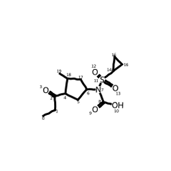 CCC(=O)C1CC(N(C(=O)O)S(=O)(=O)C2CC2)CC1C